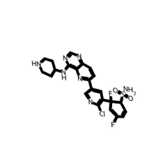 NS(=O)(=O)C1C=CC(F)=CC1(F)c1cc(-c2ccc3ncnc(NC4CCNCC4)c3n2)cnc1Cl